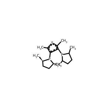 Cc1sc(C)c(P2[C@H](C)CC[C@H]2C)c1P1C(C)CCC1C